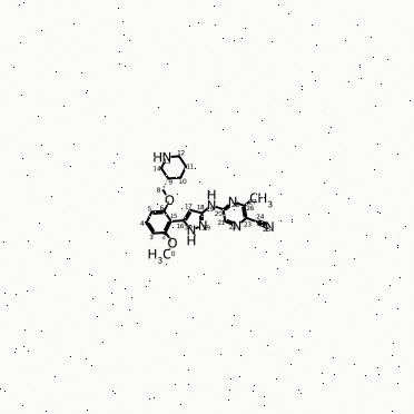 COc1cccc(OC[C@H]2CCCNC2)c1-c1cc(Nc2cnc(C#N)c(C)n2)n[nH]1